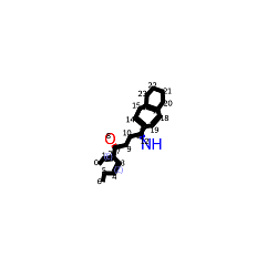 C/C=C(\C=C/CC)C(=O)CCC(=N)C1=CCC2=C(C=C1)CCCC2